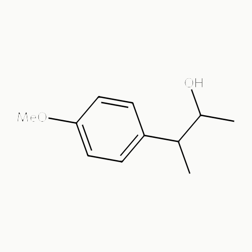 COc1ccc(C(C)C(C)O)cc1